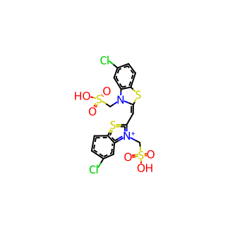 O=S(=O)(O)CN1C(=Cc2sc3ccc(Cl)cc3[n+]2CS(=O)(=O)O)Sc2ccc(Cl)cc21